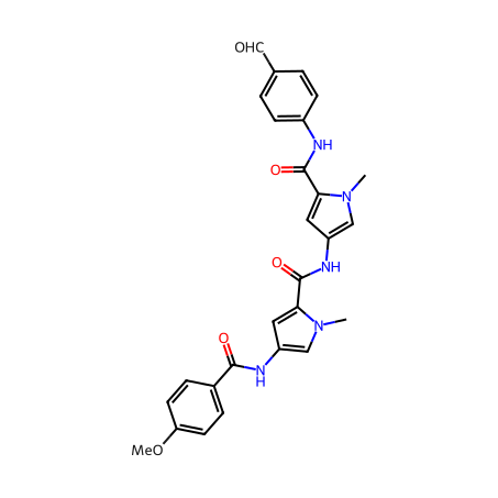 COc1ccc(C(=O)Nc2cc(C(=O)Nc3cc(C(=O)Nc4ccc(C=O)cc4)n(C)c3)n(C)c2)cc1